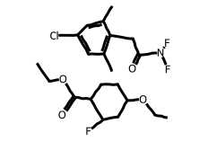 CCOC(=O)C1CCC(OCC)CC1F.Cc1cc(Cl)cc(C)c1CC(=O)N(F)F